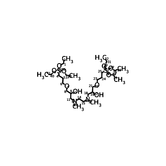 CCO[Si](CCCOCC(O)CN(C)CCN(C)CC(O)COCCC[Si](OCC)(OCC)OCC)(OCC)OCC